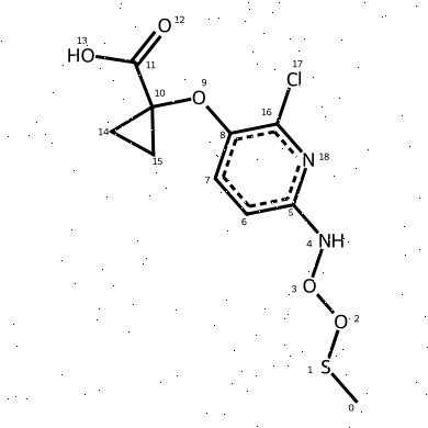 CSOONc1ccc(OC2(C(=O)O)CC2)c(Cl)n1